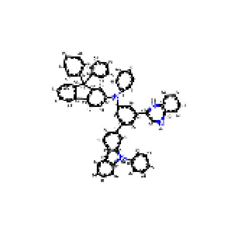 c1ccc(N(c2cc(-c3ccc4c5ccccc5n(-c5ccccc5)c4c3)cc(-c3cnc4ccccc4n3)c2)c2ccc3c(c2)C(c2ccccc2)(c2ccccc2)c2ccccc2-3)cc1